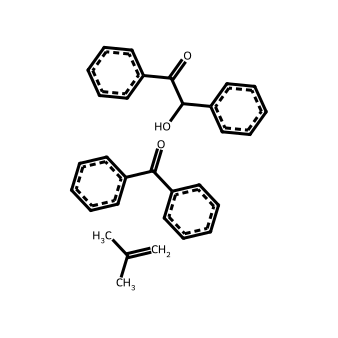 C=C(C)C.O=C(c1ccccc1)C(O)c1ccccc1.O=C(c1ccccc1)c1ccccc1